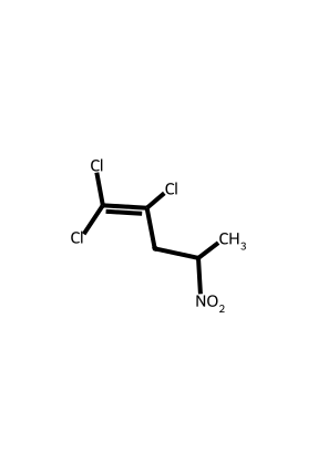 CC(CC(Cl)=C(Cl)Cl)[N+](=O)[O-]